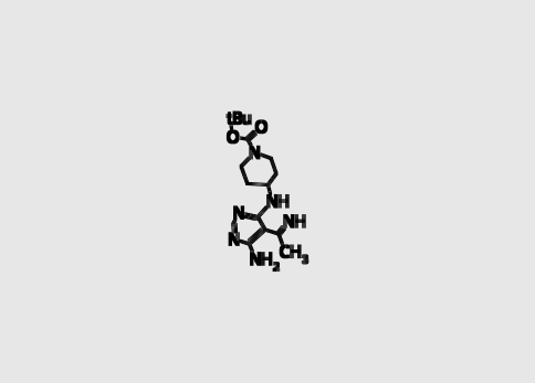 CC(=N)c1c(N)ncnc1NC1CCN(C(=O)OC(C)(C)C)CC1